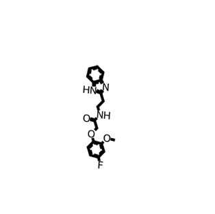 COc1cc(F)ccc1OCC(=O)NCCc1nc2ccccc2[nH]1